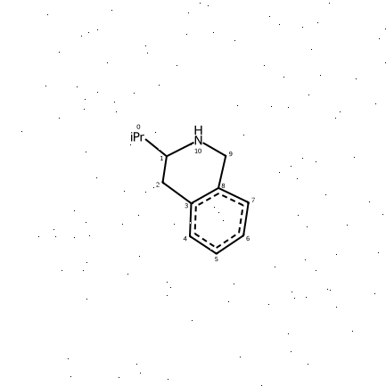 CC(C)C1Cc2ccccc2CN1